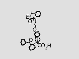 CCC(=O)N(CCCOc1ccc(C[C@H](Nc2ccccc2C(=O)c2ccccc2)C(=O)O)cc1)c1ccccc1F